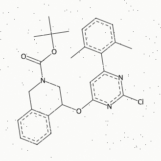 Cc1cccc(C)c1-c1cc(OC2CN(C(=O)OC(C)(C)C)Cc3ccccc32)nc(Cl)n1